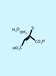 O.O.O=C(O)/C=[C](/[Ti])C(=O)O